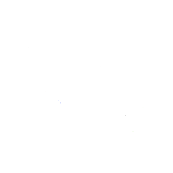 FC1(F)CCC(c2noc(C3CC3)c2CCl)CC1